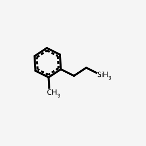 Cc1ccccc1CC[SiH3]